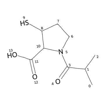 CC(C)C(=O)N1CCC(S)C1C(=O)O